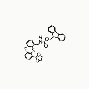 O=C(NCc1ccccc1Sc1c(F)cccc1C1OCCO1)OCC1c2ccccc2-c2ccccc21